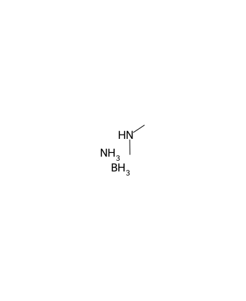 B.CNC.N